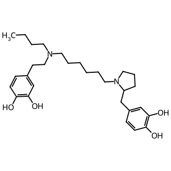 CCCCN(CCCCCCN1CCCC1Cc1ccc(O)c(O)c1)CCc1ccc(O)c(O)c1